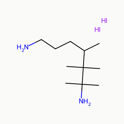 CC(CCCN)C(C)(C)C(C)(C)N.I.I